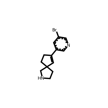 Brc1cncc(C2=CC3(CCNC3)CC2)c1